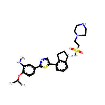 CNc1cc(-c2ncc(-c3cccc4c3CC[C@@H]4NS(=O)(=O)CCN3CCNCC3)s2)ccc1OC(C)C